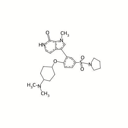 CN(C)C1CCC(Oc2ccc(S(=O)(=O)N3CCCC3)cc2-c2cn(C)c3c(=O)[nH]ccc23)CC1